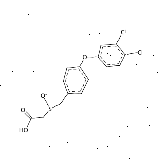 O=C(O)C[S+]([O-])Cc1ccc(Oc2ccc(Cl)c(Cl)c2)cc1